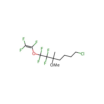 COC(C)(CCCCCl)C(F)(F)C(F)(F)OC(F)=C(F)F